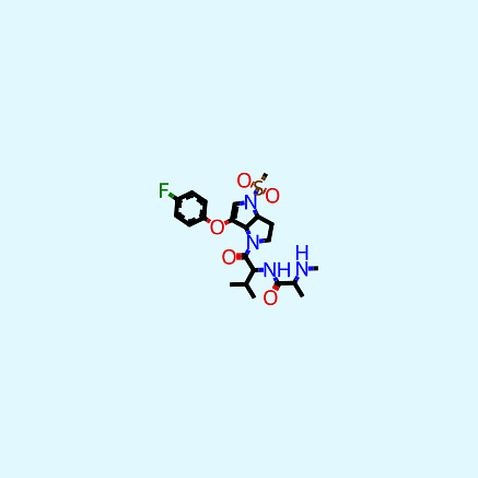 CNC(C)C(=O)NC(C(=O)N1CCC2C1C(Oc1ccc(F)cc1)=CN2S(C)(=O)=O)C(C)C